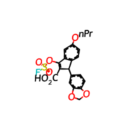 CCCOc1ccc2c(c1)C(OS(=O)(=O)F)=C(C(=O)O)C2c1ccc2c(c1)OCO2